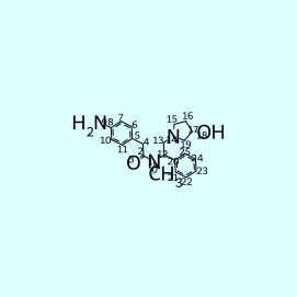 CN(C(=O)Cc1ccc(N)cc1)C(CN1CC[C@H](O)C1)c1ccccc1